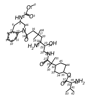 COC(=O)NC1Cc2ccccc2N(C(=O)CC(C)(C)C[C@H](N)[C@@H](O)CNC(=O)C(C)(C)C2CCC(OC(=O)[C@@H](N)C(C)C)CC2)C1